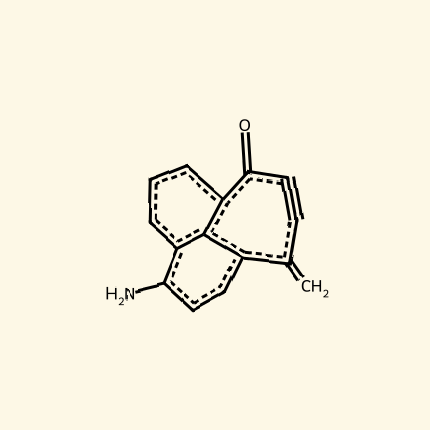 C=c1c#cc(=O)c2cccc3c(N)ccc1c32